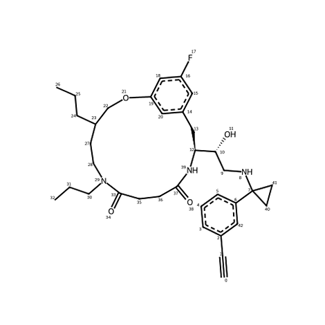 C#Cc1cccc(C2(NC[C@@H](O)[C@@H]3Cc4cc(F)cc(c4)OCC(CCC)CCN(CCC)C(=O)CCC(=O)N3)CC2)c1